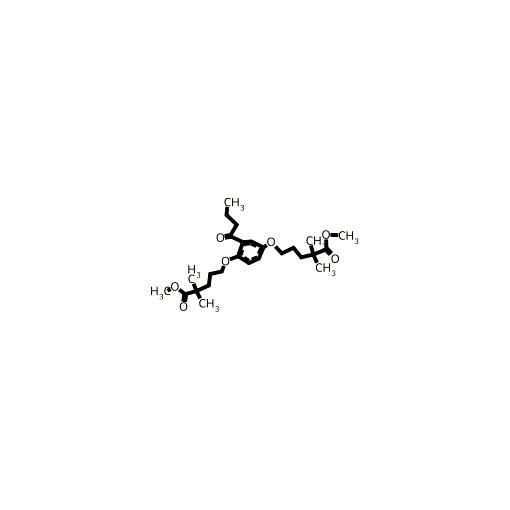 CCCC(=O)c1cc(OCCCC(C)(C)C(=O)OC)ccc1OCCCC(C)(C)C(=O)OC